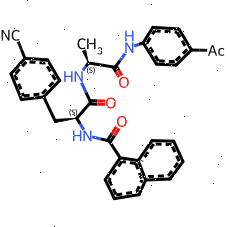 CC(=O)c1ccc(NC(=O)[C@H](C)NC(=O)[C@H](Cc2ccc(C#N)cc2)NC(=O)c2cccc3ccccc23)cc1